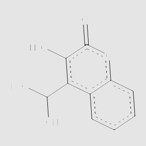 Cc1c(C(C)C)c2ccccc2oc1=O